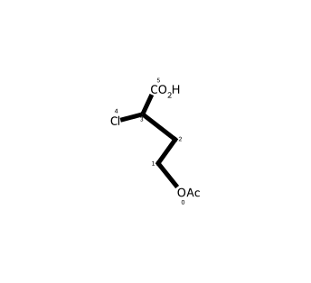 CC(=O)OCCC(Cl)C(=O)O